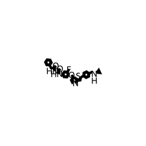 O=C(Cc1ccccc1)NC(=O)Nc1ccc(Oc2ccnc3cc(-c4ccc(CNC5CC5)cc4)sc23)c(F)c1